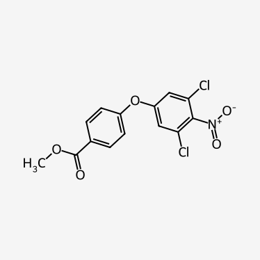 COC(=O)c1ccc(Oc2cc(Cl)c([N+](=O)[O-])c(Cl)c2)cc1